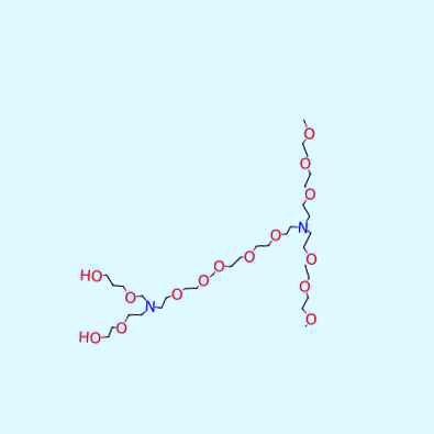 COCCOCCOCCN(CCOCCOCCOC)CCOCCOCCOCOCCOCCN(CCOCCO)COCCCO